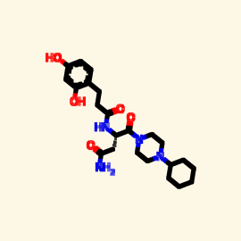 NC(=O)C[C@H](NC(=O)CCc1ccc(O)cc1O)C(=O)N1CCN(C2CCCCC2)CC1